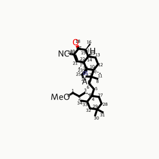 COCCC[C@]1(CCC(C)(C)[C@]2(C)CC[C@H]3[C@H](C)C(=O)C(C#N)=C[C@]3(C)/C2=C/C(C)=O)CCC(C)(C)CC1C